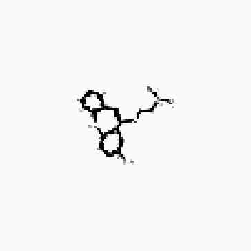 CCCc1ccc2c(c1)C(SCCN(CC)CC)=Cc1ccccc1S2